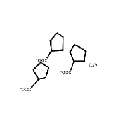 O=C([O-])C1CCCC1.O=C([O-])C1CCCC1.O=C([O-])C1CCCC1.[Ga+3]